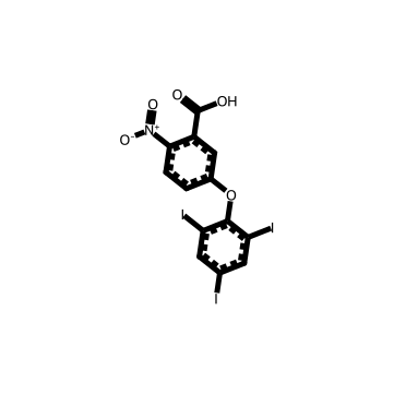 O=C(O)c1cc(Oc2c(I)cc(I)cc2I)ccc1[N+](=O)[O-]